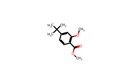 COC(=O)c1ccc(C(C)(C)C)cc1OC